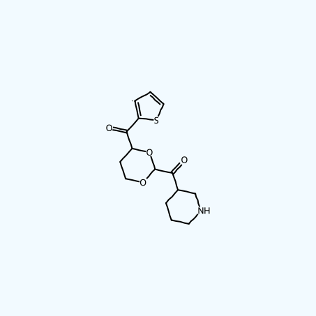 O=C(c1[c]ccs1)C1CCOC(C(=O)C2CCCNC2)O1